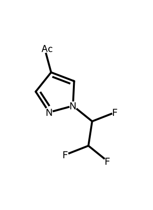 CC(=O)c1cnn(C(F)C(F)F)c1